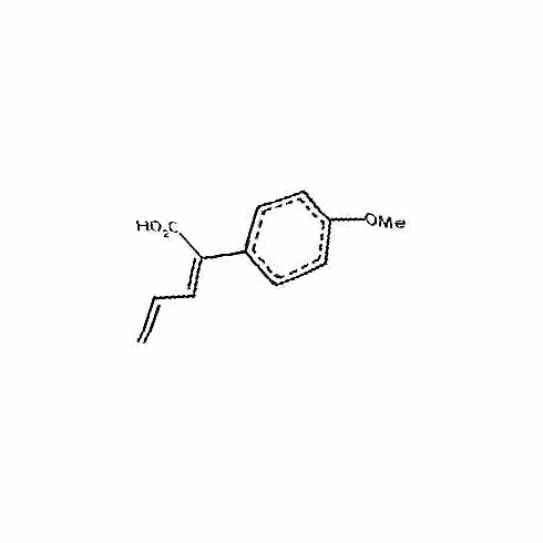 C=CC=C(C(=O)O)c1ccc(OC)cc1